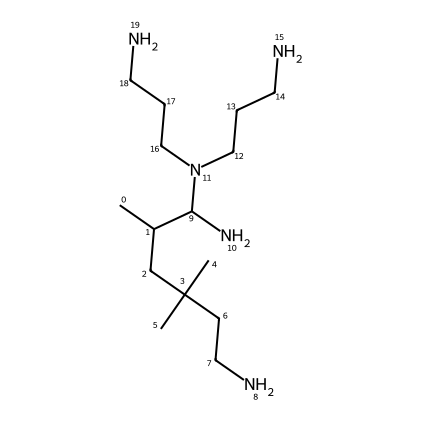 CC(CC(C)(C)CCN)C(N)N(CCCN)CCCN